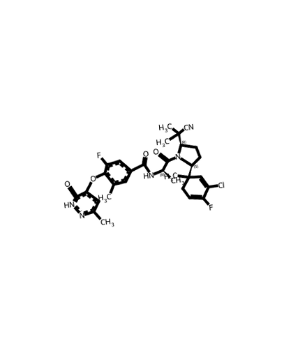 Cc1cc(Oc2c(C)cc(C(=O)N[C@H](C)C(=O)N3[C@H](C4(C)C=C(Cl)C(F)=CC4)CC[C@@H]3C(C)(C)C#N)cc2F)c(=O)[nH]n1